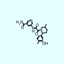 Cc1ccc(C2CCC(C)CN2C(=O)C(=O)Nc2cncc(C(N)=O)c2)cc1O